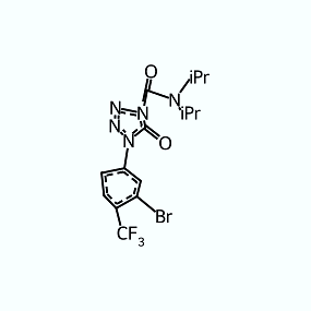 CC(C)N(C(=O)n1nnn(-c2ccc(C(F)(F)F)c(Br)c2)c1=O)C(C)C